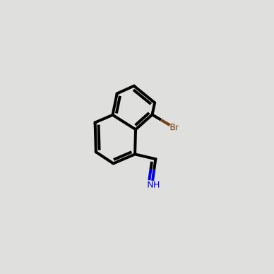 N=Cc1cccc2cccc(Br)c12